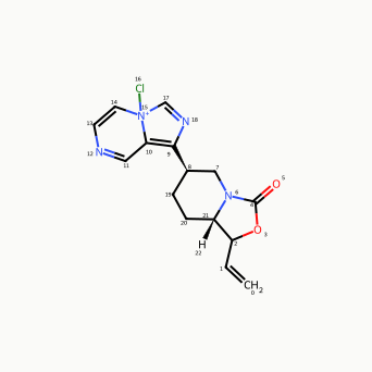 C=CC1OC(=O)N2C[C@H](C3=C4C=NC=C[N+]4(Cl)C=N3)CC[C@@H]12